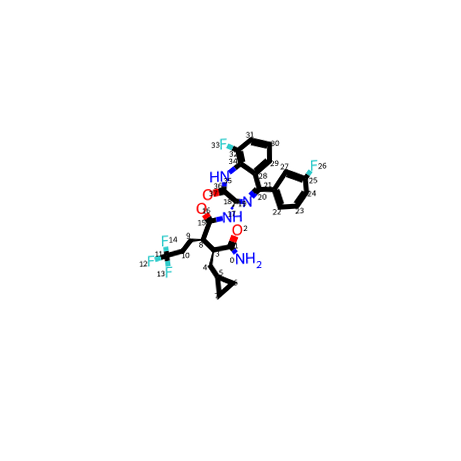 NC(=O)[C@@H](CC1CC1)[C@@H](CCC(F)(F)F)C(=O)N[C@H]1N=C(c2cccc(F)c2)c2cccc(F)c2NC1=O